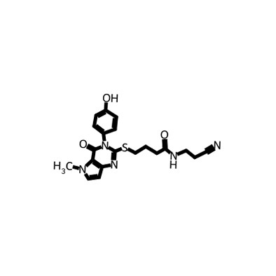 Cn1ccc2nc(SCCCC(=O)NCCC#N)n(-c3ccc(O)cc3)c(=O)c21